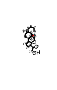 C[C@]12CC[C@@H]3[C@@]45CCCC[C@H]4CC[C@@]3(OC5)C1=CC[C@@H]2C(=O)CO